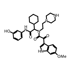 COc1ccc2c(C(=O)C(=O)N(CCN3CCNCC3)C(C(=O)Nc3cccc(O)c3)C3CCCCC3)c[nH]c2c1